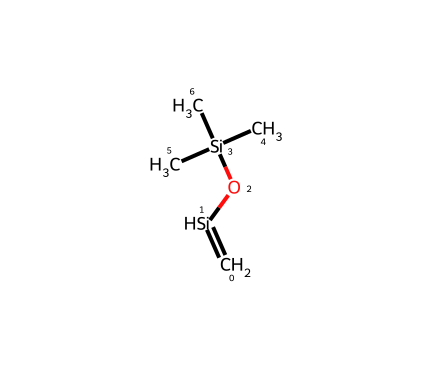 C=[SiH]O[Si](C)(C)C